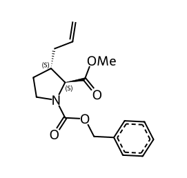 C=CC[C@H]1CCN(C(=O)OCc2ccccc2)[C@@H]1C(=O)OC